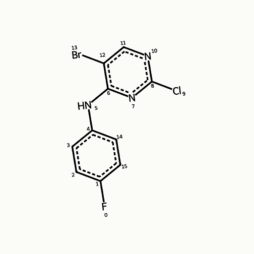 Fc1ccc(Nc2nc(Cl)ncc2Br)cc1